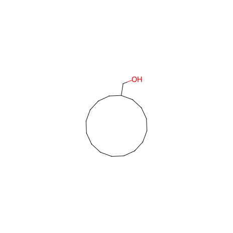 OCC1CCCCCCCCCCCCCCC1